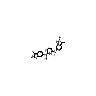 Cc1[nH]nc2cc(Nc3ccnc(Nc4ccc5c(C)n(C)nc5c4)n3)ccc12